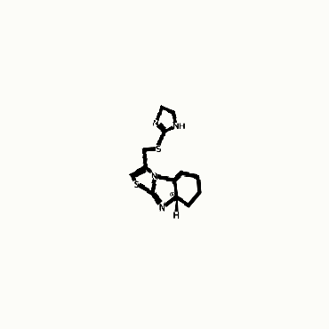 C1=C(CSC2=NCCN2)N2C(=N[C@H]3CCCCC32)S1